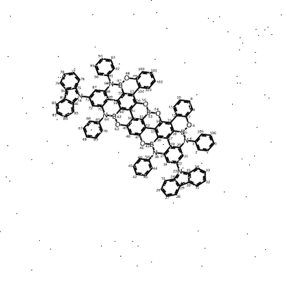 c1ccc(N2B3Oc4ccccc4-c4c5c6c7c(c43)-c3c2cc(-n2c4ccccc4c4ccccc42)cc3N(c2ccccc2)B7Oc2cc3c4c(c2-6)B(O5)Oc2c5c6c7c(c2-4)B(O3)N(c2ccccc2)c2cc(-n3c4ccccc4c4ccccc43)cc(c2-7)N(c2ccccc2)B6Oc2ccccc2-5)cc1